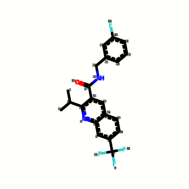 CC(C)c1nc2cc(C(F)(F)F)ccc2cc1C(=O)NCc1cccc(F)c1